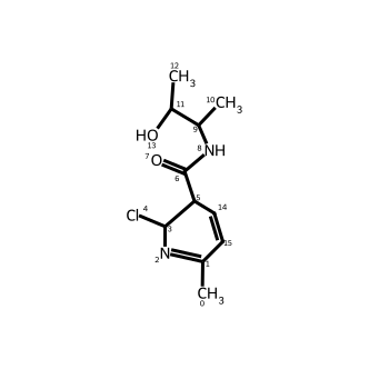 CC1=NC(Cl)C(C(=O)NC(C)C(C)O)C=C1